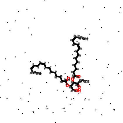 CCCCC/C=C\C/C=C\CCCCCCCC(=O)OC(CO)C(OC(=O)CCCCCCC/C=C\C/C=C\CCCCC)C(=O)CCCCC